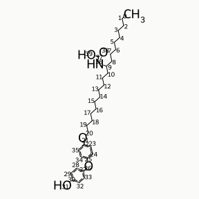 CCCCCCCCCC(CCCCCCCCCCCOc1ccc(Oc2ccc(O)cc2)cc1)NC(=O)O